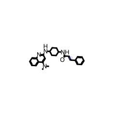 CN(C)c1cc(NC2CCC(NC(=O)/C=C/c3ccccc3)CC2)nc2ccccc12